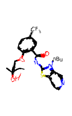 CCCCn1c(=NC(=O)c2cc(C(F)(F)F)ccc2OCC(C)(C)O)sc2ccncc21